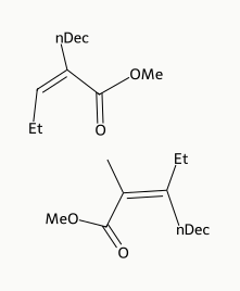 CCC=C(CCCCCCCCCC)C(=O)OC.CCCCCCCCCCC(CC)=C(C)C(=O)OC